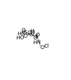 O=c1[nH]c2c(O)ccc([C@@H](O)CNCCS(=O)(=O)CCCNCCc3cccc(Cl)c3)c2s1